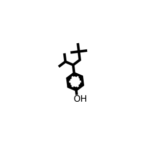 CC(C)C(CC(C)(C)C)c1ccc(O)cc1